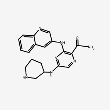 NC(=O)c1ncc(NC2CCCNC2)nc1Nc1cnc2ccccc2c1